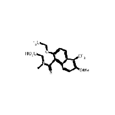 COc1ccc2c(C(=S)N(C)CC(=O)O)c(OCC(F)(F)F)ccc2c1C(F)(F)F